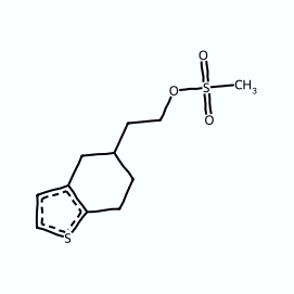 CS(=O)(=O)OCCC1CCc2sccc2C1